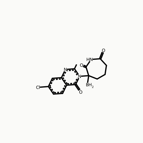 BC1(n2c(C)nc3cc(Cl)ccc3c2=O)CCCC(=O)NC1=O